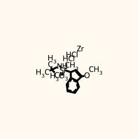 COC1=CC([Si](C)(C)NC(C)(C)C)c2ccccc21.Cl.Cl.[Zr]